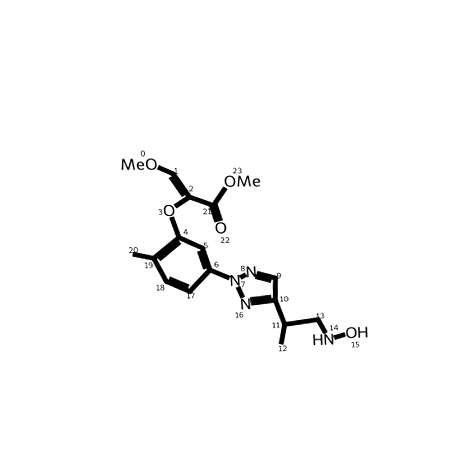 CO/C=C(\Oc1cc(-n2ncc(C(C)CNO)n2)ccc1C)C(=O)OC